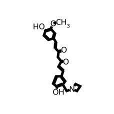 COc1cc(/C=C/C(=O)CC(=O)/C=C/c2ccc(O)c(CN3CCC3)c2)ccc1O